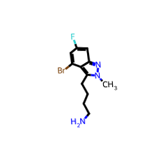 Cn1nc2cc(F)cc(Br)c2c1CCCCN